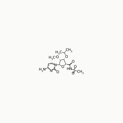 CO[C@H]1C(n2ccc(N)nc2=O)O[C@H](C(=O)NS(C)(=O)=O)[C@H]1OC(C)C